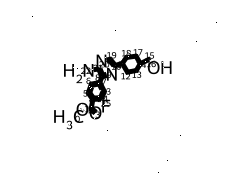 COC(=O)c1ccc(-c2nc(C3CCC(CO)CC3)cnc2N)cc1F